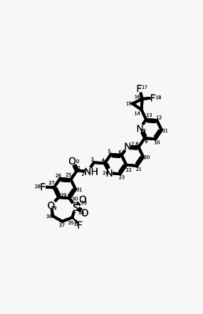 O=C(NCc1cc2nc(-c3cccc(C4CC4(F)F)n3)ccc2cn1)c1cc(F)c2c(c1)S(=O)(=O)[C@@H](F)CCO2